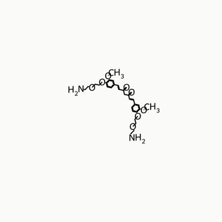 COc1cc(/C=C/C(=O)CC(=O)/C=C/c2ccc(OCCOCCN)c(OC)c2)ccc1OCCOCCN